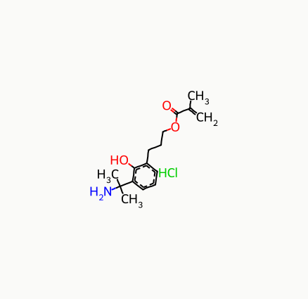 C=C(C)C(=O)OCCCc1cccc(C(C)(C)N)c1O.Cl